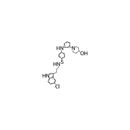 OC1CCN(c2cccc(Nc3ccc(SNCCCc4c[nH]c5ccc(Cl)cc45)cc3)c2)CC1